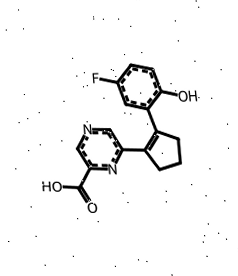 O=C(O)c1cncc(C2=C(c3cc(F)ccc3O)CCC2)n1